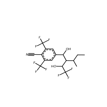 CCC(C)C(C(O)c1cc(C(F)(F)F)c(C#N)c(C(F)(F)F)c1)C(O)C(F)(F)F